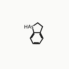 c1ccc2c(c1)CC[AsH]2